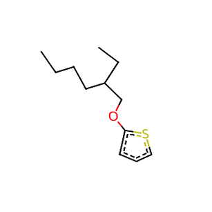 CCCCC(CC)COc1cccs1